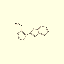 OCc1ccsc1-c1cc2ccccc2s1